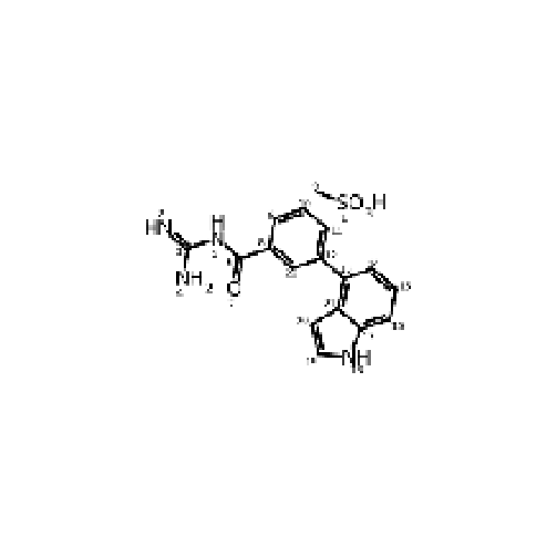 CS(=O)(=O)O.N=C(N)NC(=O)c1cccc(-c2cccc3[nH]ccc23)c1